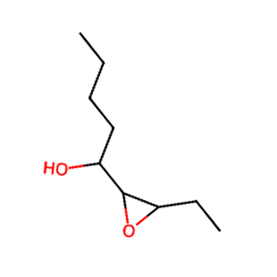 CCCCC(O)C1OC1CC